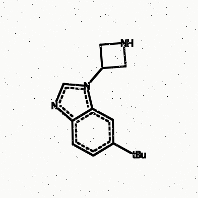 CC(C)(C)c1ccc2ncn(C3CNC3)c2c1